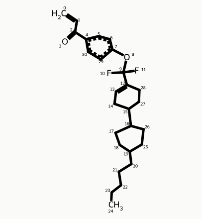 C=CC(=O)c1ccc(OC(F)(F)C2=CCC(C3CCC(CCCCC)CC3)CC2)cc1